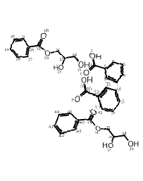 O=C(O)c1ccccc1.O=C(O)c1ccccc1.O=C(OCC(O)CO)c1ccccc1.O=C(OCC(O)CO)c1ccccc1